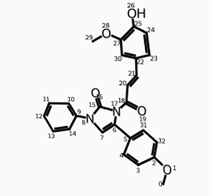 COc1ccc(-c2cn(-c3ccccc3)c(=O)n2C(=O)C=Cc2ccc(O)c(OC)c2)cc1